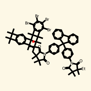 CCC1(C)C(=O)N(c2ccc(C3(c4ccc(N5C(=O)C(C)(C)C(C)(CC(C)(C)C(C)(C)C6(C)c7c(Br)c(Br)c(Br)c(Br)c7C6(C)C6(C)c7cc8c(cc7C6(C)C)C(C)(C)C8(C)C)C5=O)cc4)c4ccccc4-c4ccccc43)cc2)C(=O)C1(C)C